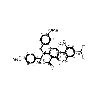 COC(=O)c1c(N(Cc2ccc(OC)cc2)Cc2ccc(OC)cc2)ncn(-c2c(Cl)cc(C(F)F)cc2[N+](=O)[O-])c1=O